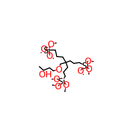 CO[Si](CCCC(CCC[Si](OC)(OC)OC)(CCC[Si](OC)(OC)OC)COCCC(C)O)(OC)OC